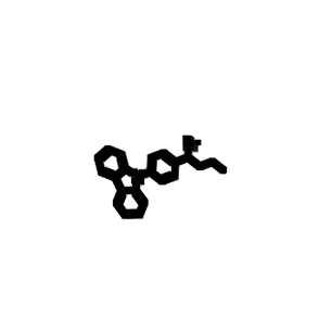 CCCC(Br)c1ccc(-n2c3ccccc3c3ccccc32)cc1